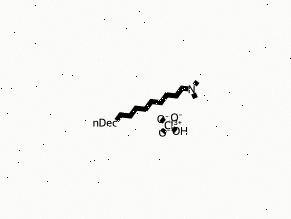 CCCCCCCCCCCCCCCCCCCN(C)C.[O-][Cl+3]([O-])([O-])O